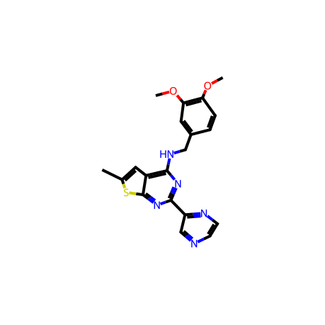 COc1ccc(CNc2nc(-c3cnccn3)nc3sc(C)cc23)cc1OC